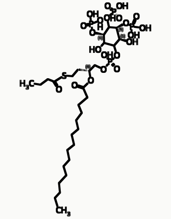 CCCCCCCCCCCCCCCC(=O)O[C@H](CCSC(=O)CCC)COP(=O)(O)OC1C(O)[C@@H](OP(=O)(O)O)C(OP(=O)(O)O)[C@@H](OP(=O)(O)O)[C@H]1O